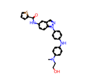 CN(CCO)c1ccc(Nc2ccc(-n3ncc4cc(NC(=O)c5cccs5)ccc43)cc2)cc1